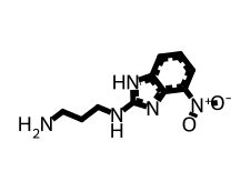 NCCCNc1nc2c([N+](=O)[O-])cccc2[nH]1